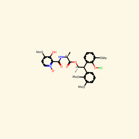 COc1cc[n+]([O-])c(C(=O)N[C@@H](C)C(=O)O[C@@H](C)C(c2cccc(OC)c2OC)c2cccc(OC)c2OCl)c1O